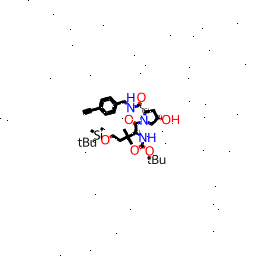 C#Cc1ccc(CNC(=O)[C@@H]2C[C@@H](O)CN2C(=O)[C@@H](NC(=O)OC(C)(C)C)C(C)(C)CCO[Si](C)(C)C(C)(C)C)cc1